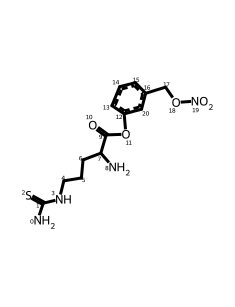 NC(=S)NCCCC(N)C(=O)Oc1cccc(CO[N+](=O)[O-])c1